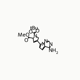 COC(=O)C1C=C(c2ccc3c(N)ncnn23)CN1C(=O)OC(C)(C)C